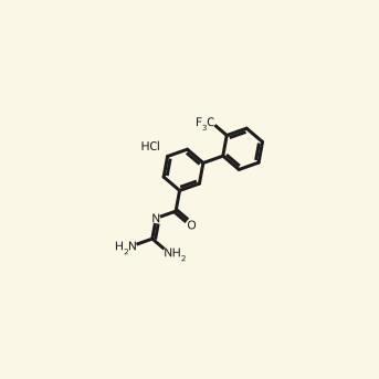 Cl.NC(N)=NC(=O)c1cccc(-c2ccccc2C(F)(F)F)c1